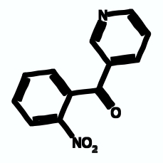 O=C(c1cccnc1)c1ccccc1[N+](=O)[O-]